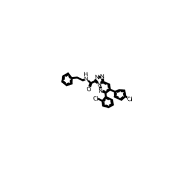 O=C(NCCc1ccccc1)c1nnc2cc(-c3ccc(Cl)cc3)c(-c3ccccc3Cl)nn12